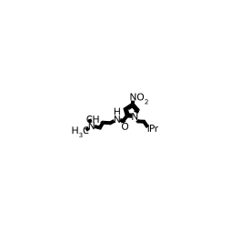 CC(C)CCn1cc([N+](=O)[O-])cc1C(=O)NCCCN(C)C